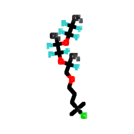 C[Si](C)(Cl)CCCOCC(F)(OC(F)(F)C(F)(OC(F)(F)C(F)(F)C(F)(F)F)C(F)(F)F)C(F)(F)F